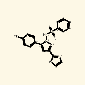 O=S(=O)(Nn1nc(-c2ncc[nH]2)cc1-c1ccc(F)cc1)c1ccccc1